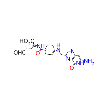 Nc1cc2ncc(CNc3ccc(C(=O)N[C@@H](CCC=O)C(=O)O)cc3)nc2c(=O)[nH]1